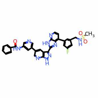 CS(=O)(=O)NCc1cc(F)cc(-c2ccnc3[nH]c(-c4n[nH]c5ncc(-c6cncc(NC(=O)c7ccccc7)c6)cc45)nc23)c1